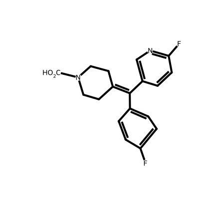 O=C(O)N1CCC(=C(c2ccc(F)cc2)c2ccc(F)nc2)CC1